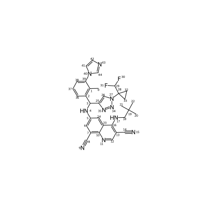 Cc1c(C(Nc2cc(C#N)c3ncc(C#N)c(NCC(C)(C)C)c3c2)c2cn(C3(C(F)F)CC3)nn2)cccc1-n1ccnc1